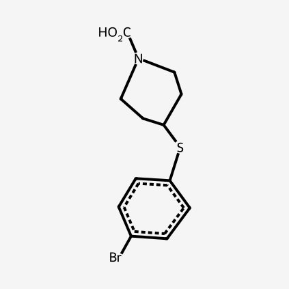 O=C(O)N1CCC(Sc2ccc(Br)cc2)CC1